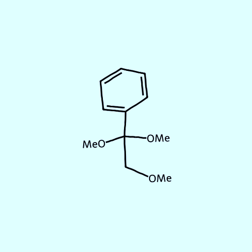 COCC(OC)(OC)c1ccccc1